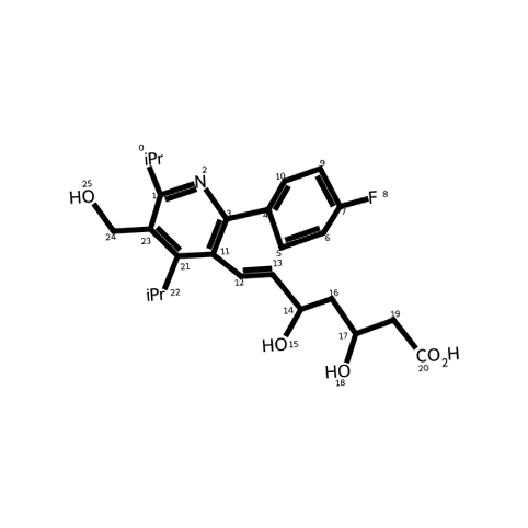 CC(C)c1nc(-c2ccc(F)cc2)c(/C=C/C(O)CC(O)CC(=O)O)c(C(C)C)c1CO